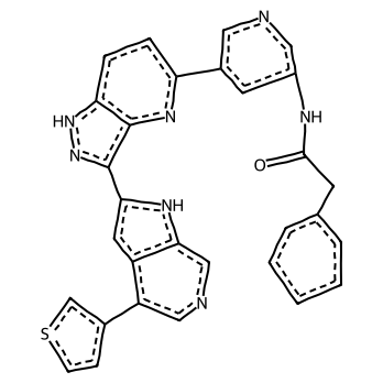 O=C(Cc1ccccc1)Nc1cncc(-c2ccc3[nH]nc(-c4cc5c(-c6ccsc6)cncc5[nH]4)c3n2)c1